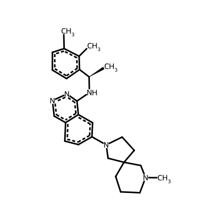 Cc1cccc([C@@H](C)Nc2nncc3ccc(N4CCC5(CCCN(C)C5)C4)cc23)c1C